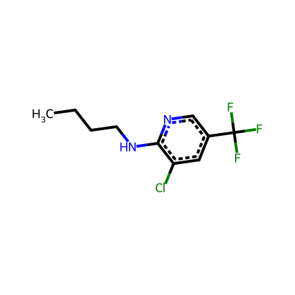 CCCCNc1ncc(C(F)(F)F)cc1Cl